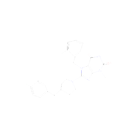 Cn1c(=O)[nH]c(=O)c2c1nc(N1CCC(Cc3ccc(F)cc3)CC1)n2Cc1ccccc1F